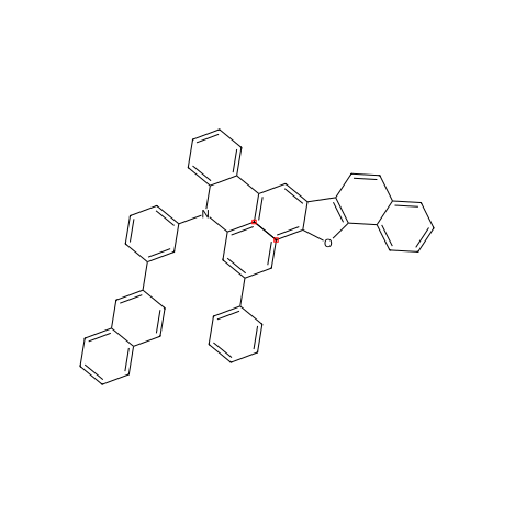 c1ccc(-c2cccc(N(c3cccc(-c4ccc5ccccc5c4)c3)c3ccccc3-c3ccc4oc5c6ccccc6ccc5c4c3)c2)cc1